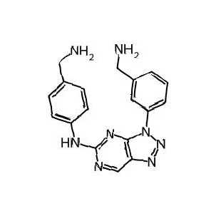 NCc1ccc(Nc2ncc3nnn(-c4cccc(CN)c4)c3n2)cc1